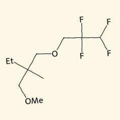 CCC(C)(COC)COCC(F)(F)C(F)F